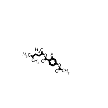 CC(=O)Oc1ccc(C(=O)OC(C)CCC(C)C)c(F)c1